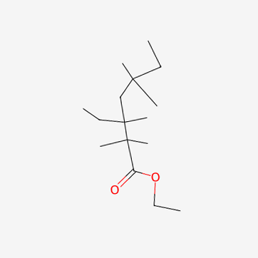 CCOC(=O)C(C)(C)C(C)(CC)CC(C)(C)CC